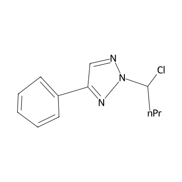 CCCC(Cl)n1ncc(-c2ccccc2)n1